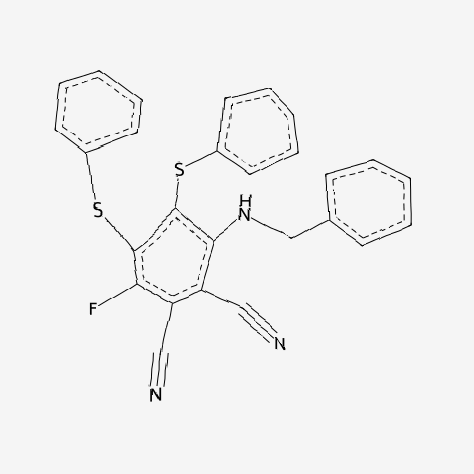 N#Cc1c(F)c(Sc2ccccc2)c(Sc2ccccc2)c(NCc2ccccc2)c1C#N